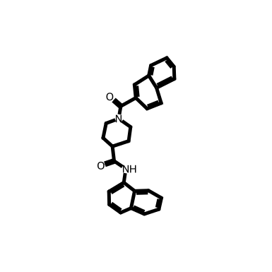 O=C(Nc1cccc2ccccc12)C1CCN(C(=O)c2ccc3ccccc3c2)CC1